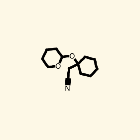 N#CCC1(OC2CCCCO2)CCCCC1